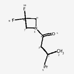 CC(C)C(C)CC(=O)N1CC(F)(F)C1